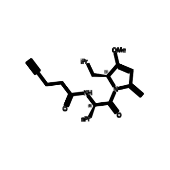 C#CCCC(=O)N[C@H](CCC)C(=O)N1C(=C)C=C(OC)[C@@H]1CC(C)C